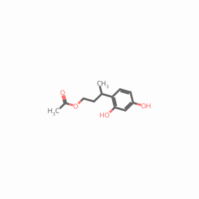 CC(=O)OCCC(C)c1ccc(O)cc1O